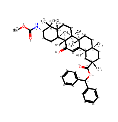 CC(C)(C)OC(=O)N[C@H]1CC[C@]2(C)[C@H]3C(=O)C=C4[C@@H]5C[C@@](C)(C(=O)OC(c6ccccc6)c6ccccc6)CC[C@]5(C)CC[C@@]4(C)[C@]3(C)CC[C@H]2[C@]1(C)C=O